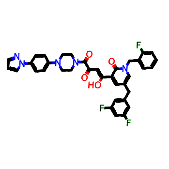 O=C(C=C(O)c1cc(Cc2cc(F)cc(F)c2)cn(Cc2ccccc2F)c1=O)C(=O)N1CCN(c2ccc(-n3cccn3)cc2)CC1